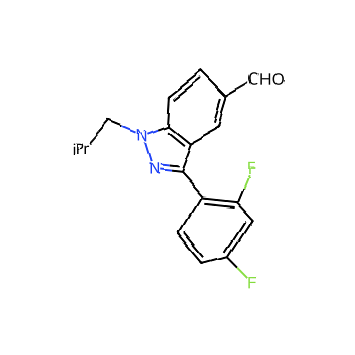 CC(C)Cn1nc(-c2ccc(F)cc2F)c2cc(C=O)ccc21